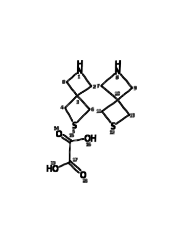 C1NCC12CSC2.C1NCC12CSC2.O=C(O)C(=O)O